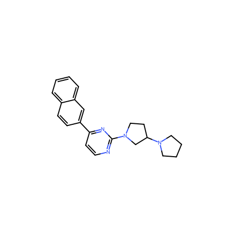 c1ccc2cc(-c3ccnc(N4CCC(N5CCCC5)C4)n3)ccc2c1